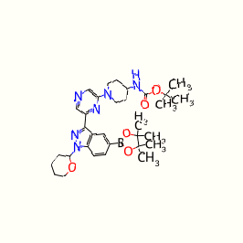 CC(C)(C)OC(=O)NC1CCN(c2cncc(-c3nn(C4CCCCO4)c4ccc(B5OC(C)(C)C(C)(C)O5)cc34)n2)CC1